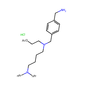 CCCN(CCC)CCCCN(CCOC(C)=O)Cc1ccc(CN)cc1.Cl